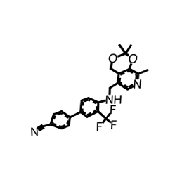 Cc1ncc(CNc2ccc(-c3ccc(C#N)cc3)cc2C(F)(F)F)c2c1OC(C)(C)OC2